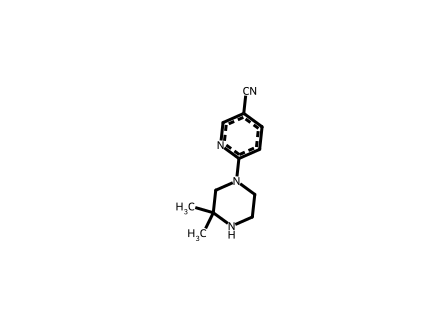 CC1(C)CN(c2ccc(C#N)cn2)CCN1